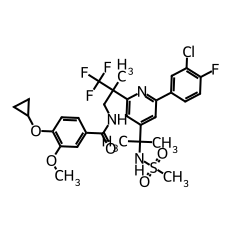 COc1cc(C(=O)NCC(C)(c2cc(C(C)(C)NS(C)(=O)=O)cc(-c3ccc(F)c(Cl)c3)n2)C(F)(F)F)ccc1OC1CC1